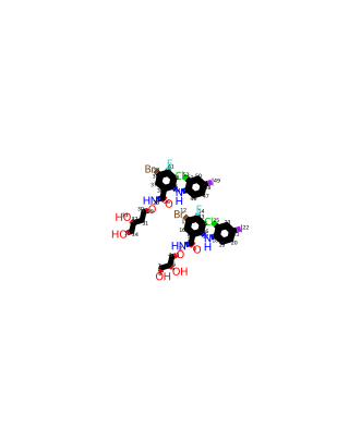 O=C(NOCC(O)CO)c1cc(Br)c(F)cc1Nc1ccc(I)cc1Cl.O=C(NOCCC(O)CO)c1cc(Br)c(F)cc1Nc1ccc(I)cc1Cl